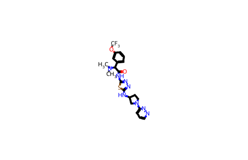 CN(C)C(C(=O)Nc1nnc(NC2CCN(c3cccnn3)C2)s1)c1cccc(OC(F)(F)F)c1